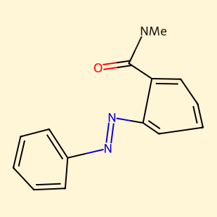 [CH2]NC(=O)c1ccccc1/N=N/c1ccccc1